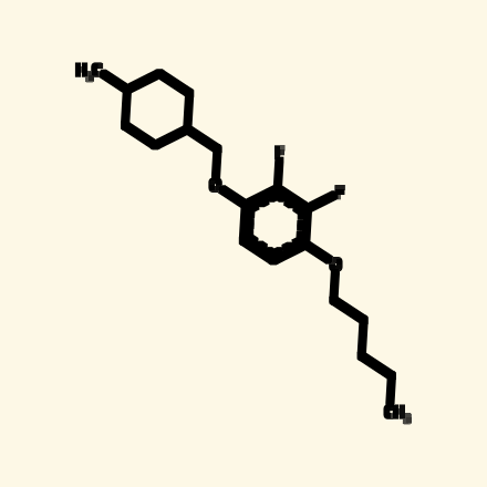 CCCCCOc1ccc(OCC2CCC(C)CC2)c(F)c1F